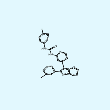 Cc1ccc(NC(=O)Nc2cc(-c3c(-c4cccc(C)c4)nc4cccnn34)ccn2)cc1